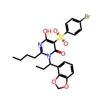 CCCCc1nc(O)c(S(=O)(=O)c2ccc(Br)cc2)c(=O)n1C(CC)c1cccc2c1OCO2